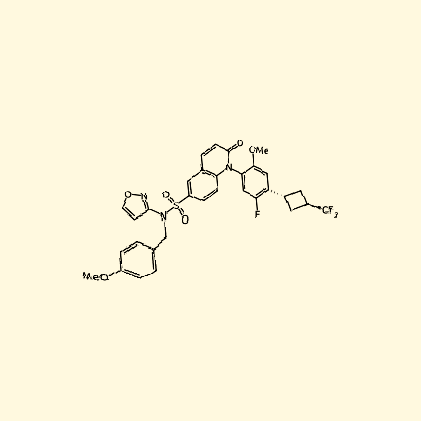 COc1ccc(CN(c2ccon2)S(=O)(=O)c2ccc3c(ccc(=O)n3-c3cc(F)c([C@H]4C[C@H](C(F)(F)F)C4)cc3OC)c2)cc1